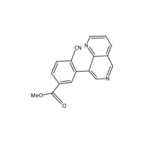 COC(=O)c1ccc(C#N)c(-c2cncc3cccnc23)c1